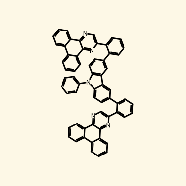 c1ccc(-n2c3ccc(-c4ccccc4-c4cnc5c6ccccc6c6ccccc6c5n4)cc3c3cc(-c4ccccc4-c4cnc5c6ccccc6c6ccccc6c5n4)ccc32)cc1